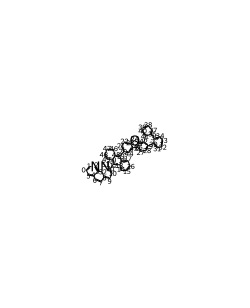 c1cnc2c(c1)ccc1ccc(-c3c4ccccc4c(-c4ccc5oc6c(ccc7c8ccccc8c8ccccc8c76)c5c4)c4ccccc34)nc12